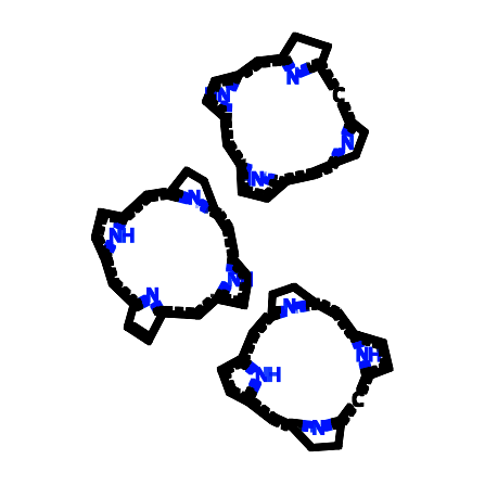 C1=Cc2cc3ccc(cc4nc(cc5ccc(cc1n2)[nH]5)CC4)[nH]3.c1c2nc(cc3ccc(cc4ccc(cc5nc1CC5)[nH]4)[nH]3)CC2.c1cc2cc3nc(cc4ccc(cc5nc(cc1[nH]2)CC5)[nH]4)CC3